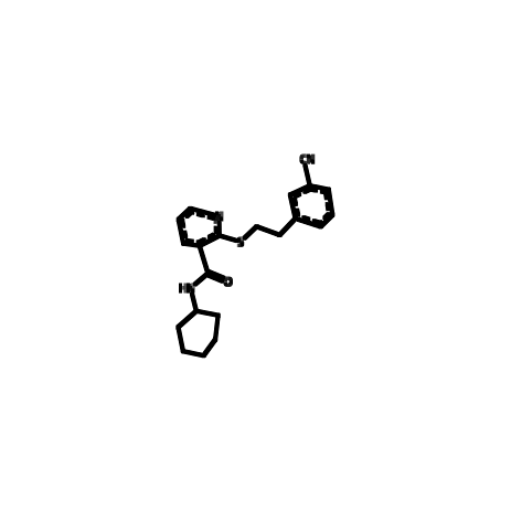 N#Cc1cccc(CCSc2ncccc2C(=O)NC2CCCCC2)c1